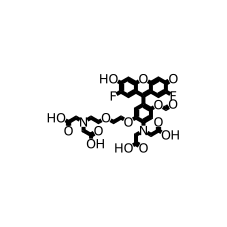 O=COc1cc(N(CC(=O)O)CC(=O)O)c(OCCOCCN(CC(=O)O)CC(=O)O)cc1-c1c2cc(F)c(=O)cc-2oc2cc(O)c(F)cc12